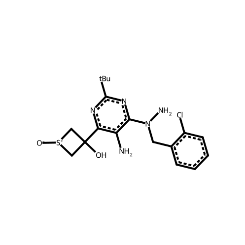 CC(C)(C)c1nc(N(N)Cc2ccccc2Cl)c(N)c(C2(O)C[S+]([O-])C2)n1